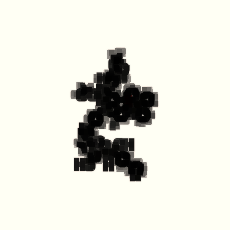 CO[C@@H](C)COc1nc(N2C[C@@H]3C[C@H]2CN3C(=O)OC(C)(C)C)c2cc(C3CC3)c(-c3c(C)c(F)cc4nn(C(c5ccccc5)(c5ccccc5)c5ccccc5)cc34)c(OCc3ccc(-c4cn([C@H](C(=O)N5C[C@H](O)C[C@H]5C(=O)N[C@@H](CO)c5ccc(-c6cccnc6)cc5)C(C)C)nn4)cc3)c2n1